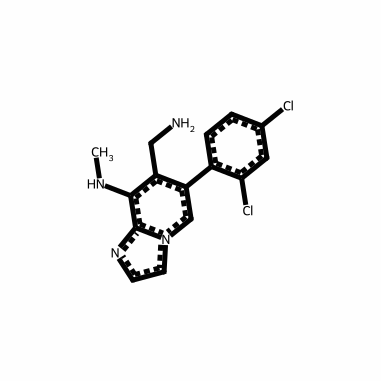 CNc1c(CN)c(-c2ccc(Cl)cc2Cl)cn2ccnc12